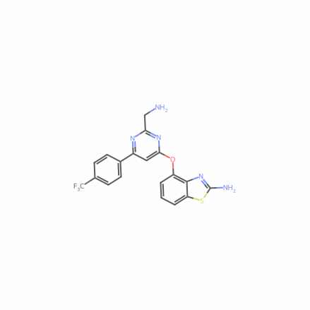 NCc1nc(Oc2cccc3sc(N)nc23)cc(-c2ccc(C(F)(F)F)cc2)n1